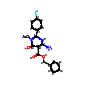 CC(=O)On1c(-c2ccc(F)cc2)nc(N)c(C(=O)OCc2ccccc2)c1=O